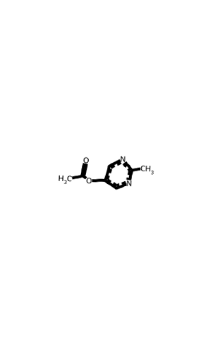 CC(=O)Oc1cnc(C)nc1